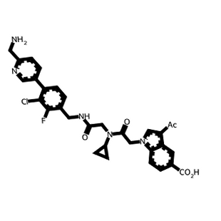 CC(=O)c1cn(CC(=O)N(CC(=O)NCc2ccc(-c3ccc(CN)nc3)c(Cl)c2F)C2CC2)c2ccc(C(=O)O)cc12